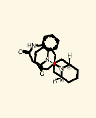 O=C1CC(=O)N([C@H]2C[C@H]3CCC[C@@H](C2)N3C2CCCCCCC2)c2ccccc2N1